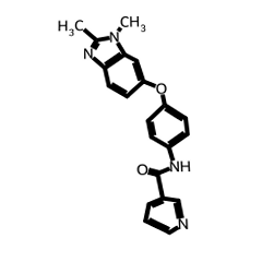 Cc1nc2ccc(Oc3ccc(NC(=O)c4cccnc4)cc3)cc2n1C